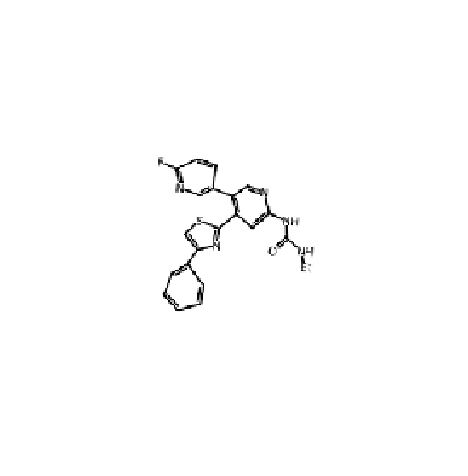 CCNC(=O)Nc1cc(-c2nc(-c3ccccc3)cs2)c(-c2ccc(F)nc2)cn1